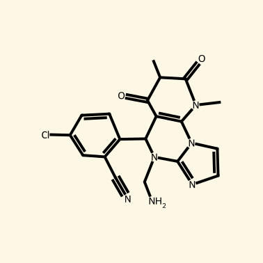 CC1C(=O)C2=C(N(C)C1=O)n1ccnc1N(CN)C2c1ccc(Cl)cc1C#N